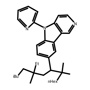 CCCCCCC(C)(C)C(CC(C)(CC)CC(C)CC)c1ccc2c(c1)c1cnccc1n2-c1ccccn1